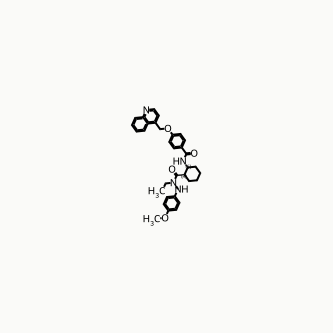 CCN(Nc1ccc(OC)cc1)C(=O)[C@@H]1CCCC[C@@H]1NC(=O)c1ccc(OCc2ccnc3ccccc23)cc1